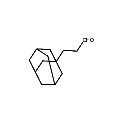 O=CCCC12CC3CC(CC(C3)C1)C2